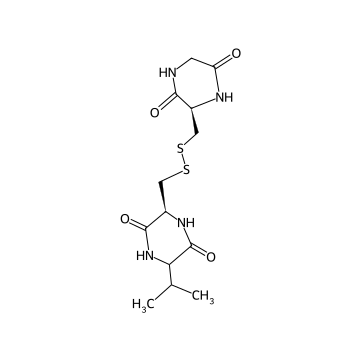 CC(C)C1NC(=O)[C@@H](CSSC[C@@H]2NC(=O)CNC2=O)NC1=O